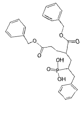 O=C(CCC(CC(Cc1ccccc1)P(=O)(O)O)C(=O)OCc1ccccc1)OCc1ccccc1